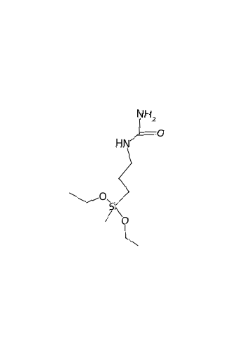 CCO[Si](C)(CCCNC(N)=O)OCC